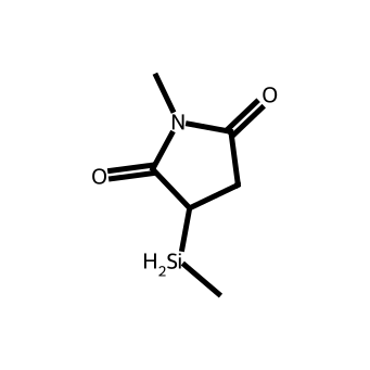 C[SiH2]C1CC(=O)N(C)C1=O